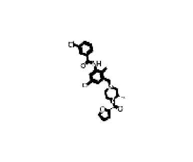 Cc1c(CN2CCN(C(=O)[C@@H]3CCCO3)[C@@H](C)C2)cc(Cl)cc1NC(=O)c1cccc(Cl)c1